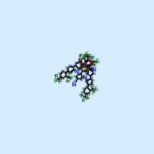 N#Cc1cc(C#N)cc(-c2c(-n3c4cc(-c5ccc(C(F)(F)F)cc5C(F)(F)F)ccc4c4ccc(-c5ccc(C(F)(F)F)cc5C(F)(F)F)cc43)cc(C#N)cc2-n2c3cc(-c4ccc(C(F)(F)F)cc4C(F)(F)F)ccc3c3ccc(-c4ccc(C(F)(F)F)cc4C(F)(F)F)cc32)c1